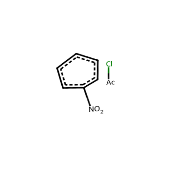 CC(=O)Cl.O=[N+]([O-])c1ccccc1